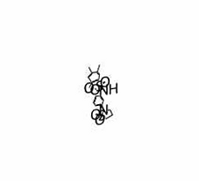 COc1cc(C)c(C)cc1S(=O)(=O)Nc1cccc(N2CCCS2(=O)=O)c1